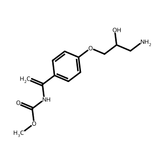 C=C(NC(=O)OC)c1ccc(OCC(O)CN)cc1